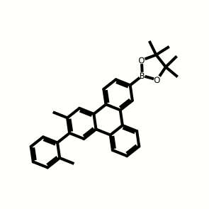 Cc1ccccc1-c1cc2c3ccccc3c3cc(B4OC(C)(C)C(C)(C)O4)ccc3c2cc1C